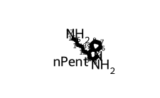 CCCCCc1c(N)nc2ccccc2c1CCCCCN